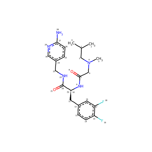 CC(C)CN(C)CC(=O)N[C@@H](Cc1ccc(F)c(F)c1)C(=O)NCc1ccc(N)nc1